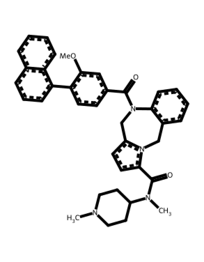 COc1cc(C(=O)N2Cc3ccc(C(=O)N(C)C4CCN(C)CC4)n3Cc3ccccc32)ccc1-c1cccc2ccccc12